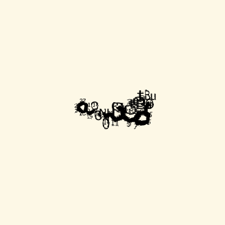 CC(C)(C)OC(=O)c1cccc(CC(CCC(=O)NOC(=O)Cc2ccccc2)C(=O)OC(C)(C)C)c1